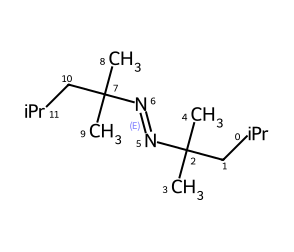 CC(C)CC(C)(C)/N=N/C(C)(C)CC(C)C